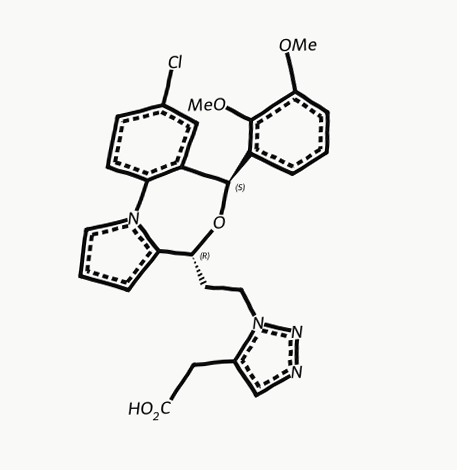 COc1cccc([C@H]2O[C@H](CCn3nncc3CC(=O)O)c3cccn3-c3ccc(Cl)cc32)c1OC